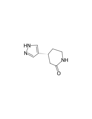 O=C1C[C@H](c2cn[nH]c2)CCN1